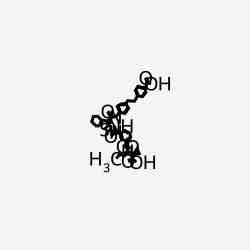 CCCN(C1(C(=O)O)CC1)S(=O)(=O)c1cccc(C(=O)Nc2sc3c(c2C(=O)Nc2ccc(CCc4ccc(C(=O)O)cc4)cc2)CCCC3)c1